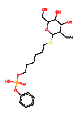 CC(=O)NC1C(SCCCCCCOP(=O)(O)Oc2ccccc2)OC(CO)C(O)C1O